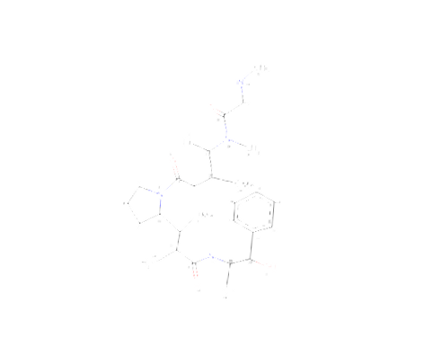 CCC(C(CC(=O)N1CCCC1C(OC)C(C)C(=O)NC(C)C(O)c1ccccc1)OC)N(C)C(=O)CNC=O